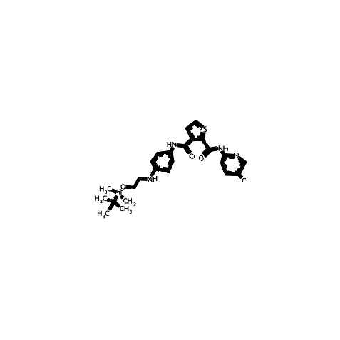 CC(C)(C)[Si](C)(C)OCCNc1ccc(NC(=O)c2ccsc2C(=O)Nc2ccc(Cl)cn2)cc1